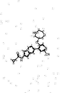 N#Cc1cc(-c2ccn3nc(NC(=O)C4CC4)cc3c2)c(O[C@H]2CNCCOC2)cn1